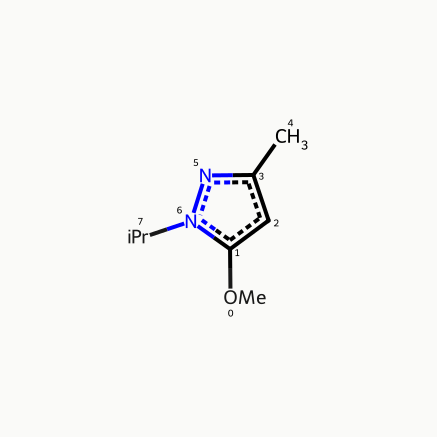 COc1cc(C)nn1C(C)C